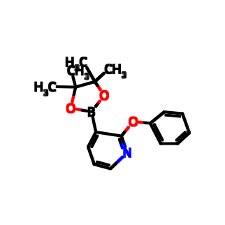 CC1(C)OB(c2cccnc2Oc2ccccc2)OC1(C)C